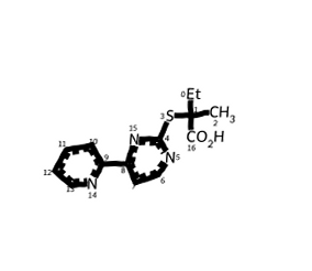 CCC(C)(Sc1nccc(-c2ccccn2)n1)C(=O)O